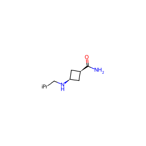 CC(C)CN[C@H]1C[C@@H](C(N)=O)C1